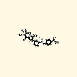 Cc1nc(C(=O)N(C)N(C)C)sc1-c1ccnc(NCc2ccc(C(=O)O)cc2)n1